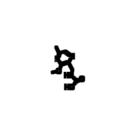 COc1nc(C)cnc1CNC(=O)O